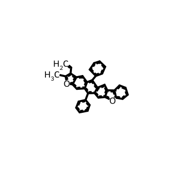 C=Cc1c(C)oc2cc3c(-c4ccccc4)c4cc5oc6ccccc6c5cc4c(-c4ccccc4)c3cc12